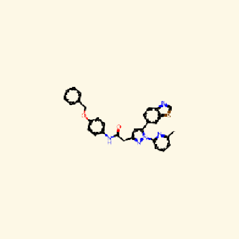 Cc1cccc(-n2nc(CC(=O)Nc3ccc(OCc4ccccc4)cc3)cc2-c2ccc3ncsc3c2)n1